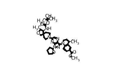 COC(=O)c1ccc2c(c1)[C@@H](C)CCN2c1nn(C2CCCCO2)c2nc(N3CCC4(CC3)CO[C@@H](C)[C@H]4NC(=O)OC(C)(C)C)cnc12